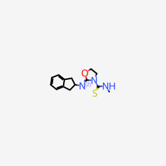 CNC(=S)N1CCO/C1=N\C1Cc2ccccc2C1